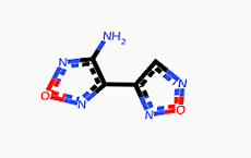 Nc1nonc1-c1cnon1